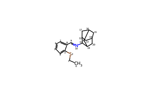 CCSc1ccccc1C=NC1C2CC3CC(C2)CC1C3